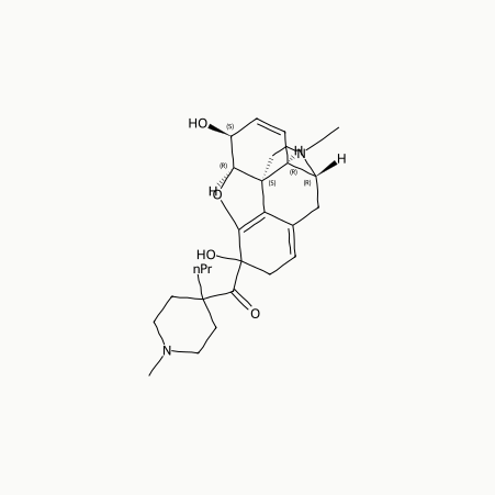 CCCC1(C(=O)C2(O)CC=C3C[C@@H]4[C@@H]5C=C[C@H](O)[C@@H]6OC2=C3[C@]56CCN4C)CCN(C)CC1